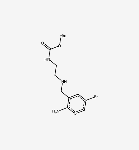 CC(C)(C)OC(=O)NCCNCc1cc(Br)cnc1N